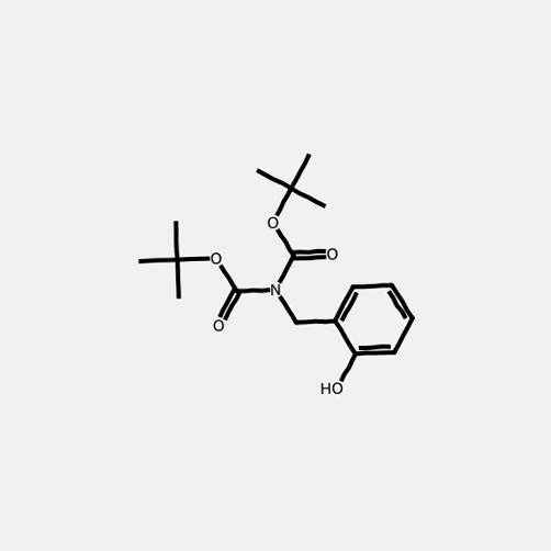 CC(C)(C)OC(=O)N(Cc1ccccc1O)C(=O)OC(C)(C)C